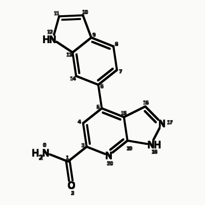 NC(=O)c1cc(-c2ccc3cc[nH]c3c2)c2cn[nH]c2n1